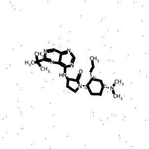 CCC[C@@H]1C[C@H](N(C)C)CC[C@@H]1N1CCC(Nc2ncnc3cnc(C(C)(C)C)nc23)C1=O